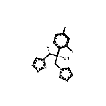 C[C@@H](n1ccnn1)[C@](O)(Cn1ccnc1)c1ccc(F)cc1F